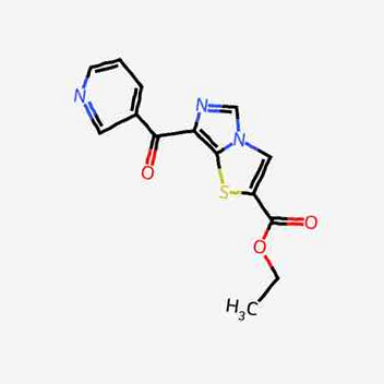 CCOC(=O)c1cn2cnc(C(=O)c3cccnc3)c2s1